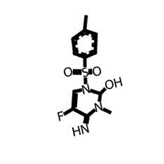 Cc1ccc(S(=O)(=O)N2C=C(F)C(=N)N(C)C2O)cc1